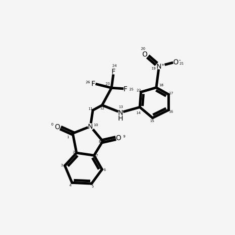 O=C1c2ccccc2C(=O)N1CC(Nc1cccc([N+](=O)[O-])c1)C(F)(F)F